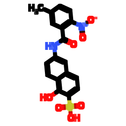 Cc1ccc([N+](=O)[O-])c(C(=O)Nc2ccc3c(O)c(S(=O)(=O)O)ccc3c2)c1